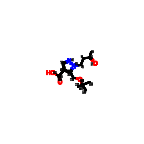 CC(=O)CCn1ncc(C(=O)O)c1COC(C)(C)C